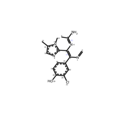 C=N/C(=C(\N=C(/C)N)c1ncc(C)n1C)c1ccc(O)c(Cl)c1